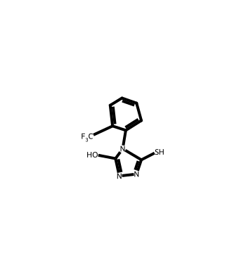 Oc1nnc(S)n1-c1ccccc1C(F)(F)F